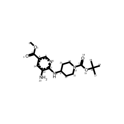 COC(=O)c1cnc(NC2CCN(C(=O)OC(C)(C)C)CC2)c(N)c1